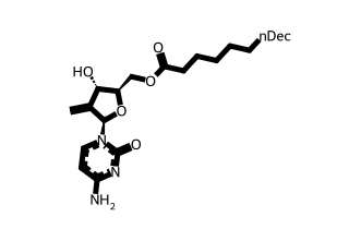 C=C1[C@H](n2ccc(N)nc2=O)O[C@H](COC(=O)CCCCCCCCCCCCCCC)[C@H]1O